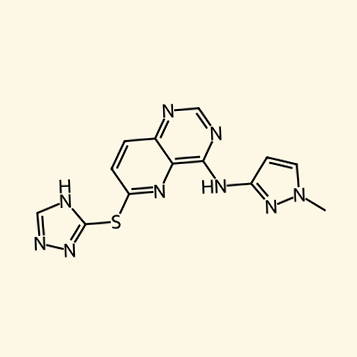 Cn1ccc(Nc2ncnc3ccc(Sc4nnc[nH]4)nc23)n1